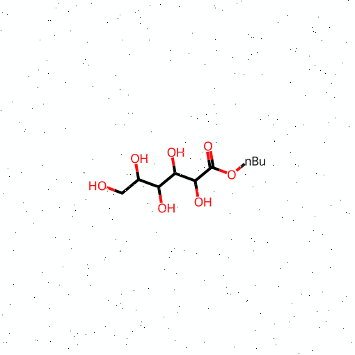 CCCCOC(=O)C(O)C(O)C(O)C(O)CO